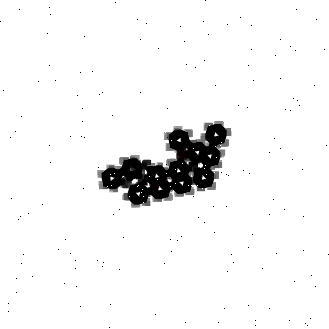 Cc1cc(-c2ccc(N(c3ccccc3-c3ccc(-c4ccccc4)cc3)c3cccc4c3oc3ccccc34)c(C)c2)ccc1N(c1ccccc1-c1ccc(-c2ccccc2)cc1)c1cccc2c1oc1ccccc12